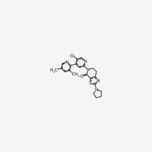 Cc1cnc(-c2cc(N3CCc4nc(N5CCCC5)sc4C3=O)ncc2Cl)c(C)c1